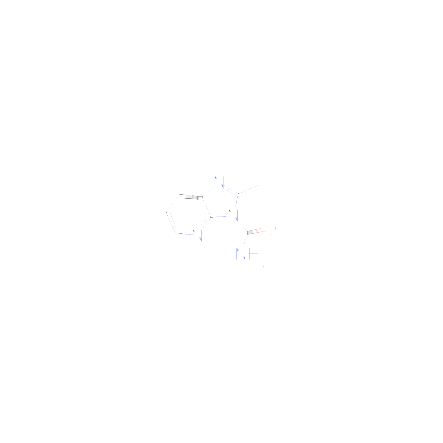 Cc1nc2cccnc2n1C(N)=O